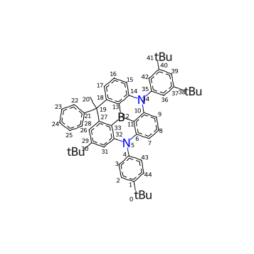 CC(C)(C)c1ccc(N2c3cccc4c3B3c5c(cccc5C(C)(c5ccccc5)c5cc(C(C)(C)C)cc2c53)N4c2cc(C(C)(C)C)cc(C(C)(C)C)c2)cc1